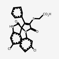 O=C(O)CSC1=C(c2ccccc2)C2(C(=O)Nc3cc(Cl)ccc32)N(c2cccc(Cl)c2)C1=O